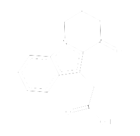 O=C(O)Cc1c2n(c3ccccc13)CCCC2=O